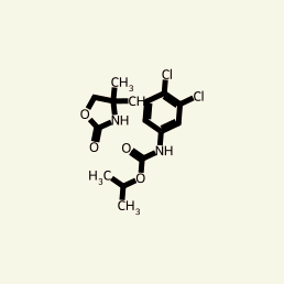 CC(C)OC(=O)Nc1ccc(Cl)c(Cl)c1.CC1(C)COC(=O)N1